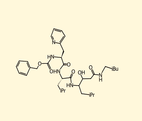 CCC(C)CNC(=O)CC(O)C(CC(C)C)NC(=O)[C@H](CC(C)C)NC(=O)[C@H](Cc1ccccn1)NC(=O)OCc1ccccc1